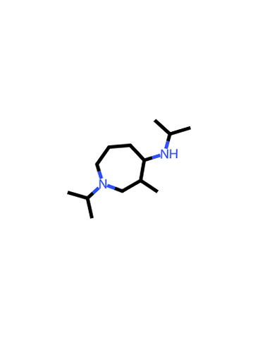 CC(C)NC1CCCN(C(C)C)CC1C